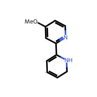 COc1ccnc(C2=C[C]=CCN2)c1